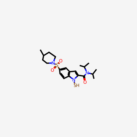 CC1CCN(S(=O)(=O)c2ccc3c(c2)cc(C(=O)N(C(C)C)C(C)C)n3S)CC1